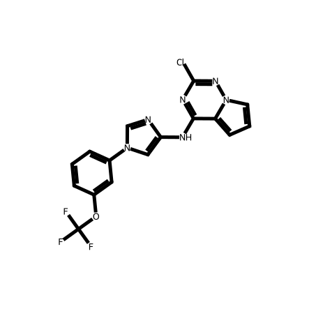 FC(F)(F)Oc1cccc(-n2cnc(Nc3nc(Cl)nn4cccc34)c2)c1